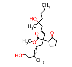 CCCCC(C)(O)C/C=C/[C@@](CC=C=C(C)CCO)(C(=O)OC)[C@H]1CCCC1=O